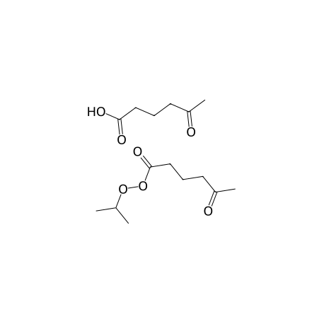 CC(=O)CCCC(=O)O.CC(=O)CCCC(=O)OOC(C)C